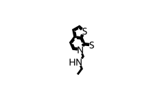 CCNCn1ccc2ccsc2c1=S